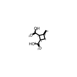 C=C1CC(C(=O)O)C1C(=O)O